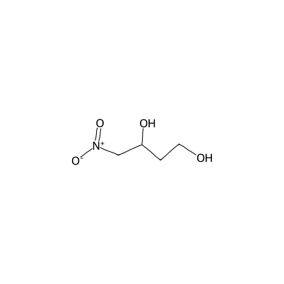 O=[N+]([O-])CC(O)CCO